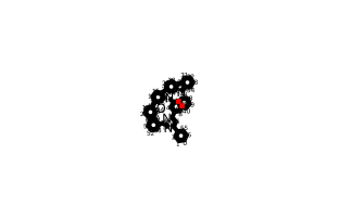 c1ccc(-c2cc(-c3cccc(-n4c5c(ccc6c7ccccc7oc65)c5ccc6c7ccccc7n(-c7ccccc7)c6c54)c3)nc(-c3ccccc3)n2)cc1